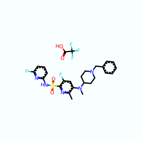 Cc1nc(S(=O)(=O)Nc2cccc(F)n2)c(F)cc1N(C)C1CCN(Cc2ccccc2)CC1.O=C(O)C(F)(F)F